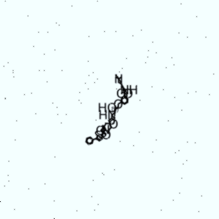 CN(C)CCCNS(=O)(=O)c1cccc(OC[C@@H](O)CNC2COC3(CCN(S(=O)(=O)c4ccc(-c5ccccc5)s4)CC3)C2)c1